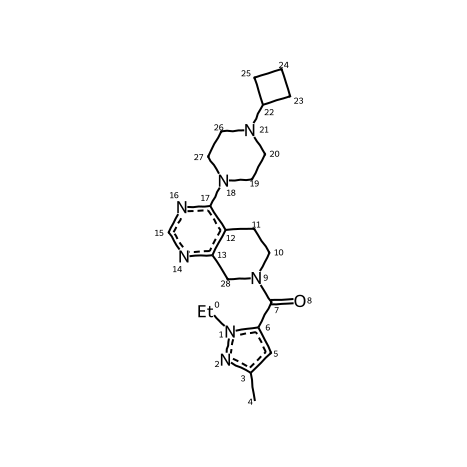 CCn1nc(C)cc1C(=O)N1CCc2c(ncnc2N2CCN(C3CCC3)CC2)C1